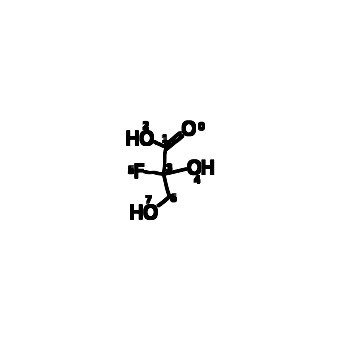 O=C(O)C(O)(F)CO